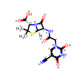 CC1(C)S[C@@H]2[C@H](NC(=O)Cn3cc(C#N)c(=O)[nH]c3=O)C(=O)N2[C@H]1C(=O)O